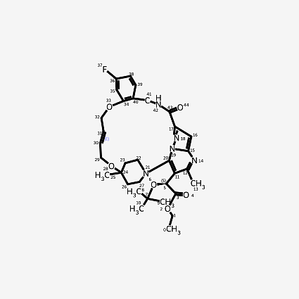 CCOC(=O)[C@@H](OC(C)(C)C)c1c(C)nc2cc3nn2c1N1CCC(C)(CC1)OC/C=C/COc1cc(F)ccc1CNC3=O